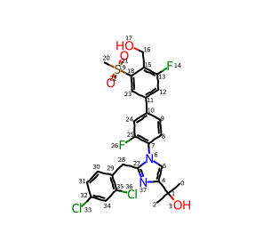 CC(C)(O)c1cn(-c2ccc(-c3cc(F)c(CO)c(S(C)(=O)=O)c3)cc2F)c(Cc2ccc(Cl)cc2Cl)n1